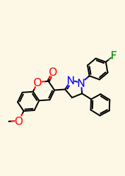 COc1ccc2oc(=O)c(C3=NN(c4ccc(F)cc4)C(c4ccccc4)C3)cc2c1